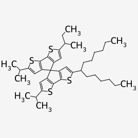 CCCCCCC(CCCCCC)c1cc2c(s1)-c1sc(C(C)C)cc1C21c2cc(C(C)C)sc2-c2sc(C(C)CC)cc21